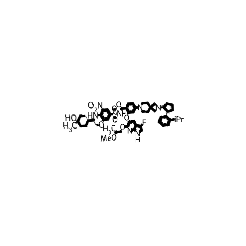 CO[C@@H](C)COc1nc2[nH]cc(F)c2cc1Oc1cc(N2CCC3(CC2)CN([C@@H]2CCC[C@@H]2c2ccccc2C(C)C)C3)ccc1C(=O)NS(=O)(=O)c1cc2c(c([N+](=O)[O-])c1)N[C@@H]([C@H]1CC[C@](C)(O)CC1)CO2